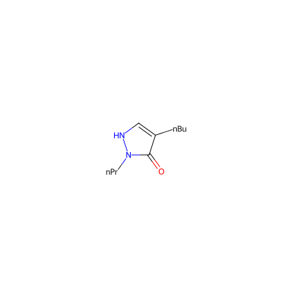 CCCCc1c[nH]n(CCC)c1=O